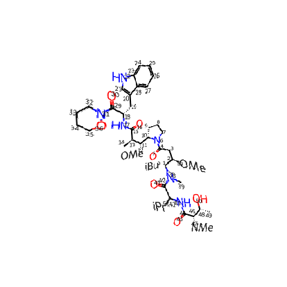 CC[C@H](C)[C@@H]([C@@H](CC(=O)N1CCC[C@H]1[C@H](OC)[C@@H](C)C(=O)N[C@@H](Cc1c[nH]c2ccccc12)C(=O)N1CCCCO1)OC)N(C)C(=O)[C@@H](NC(=O)[C@@H](NC)[C@@H](C)O)C(C)C